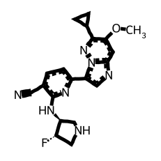 COc1cc2ncc(-c3ccc(C#N)c(N[C@H]4CNC[C@@H]4F)n3)n2nc1C1CC1